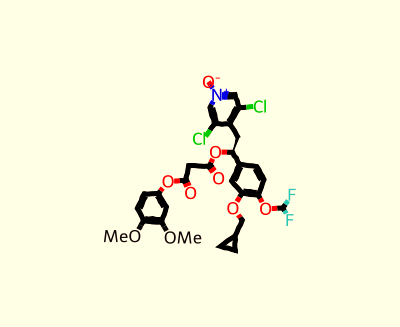 COc1ccc(OC(=O)CC(=O)O[C@@H](Cc2c(Cl)c[n+]([O-])cc2Cl)c2ccc(OC(F)F)c(OCC3CC3)c2)cc1OC